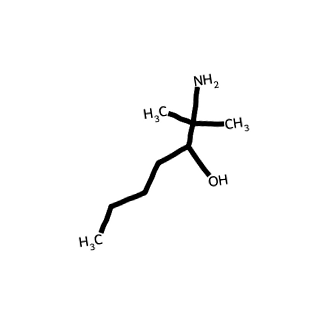 CCCCC(O)C(C)(C)N